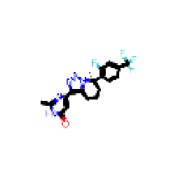 Cc1nc(-c2nnn3c2CCC[C@]3(C)c2ccc(C(F)(F)F)cc2F)cc(=O)[nH]1